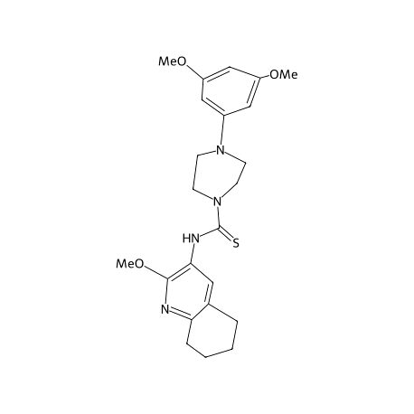 COc1cc(OC)cc(N2CCN(C(=S)Nc3cc4c(nc3OC)CCCC4)CC2)c1